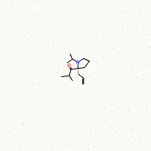 C=CC[C@@]1(C(=O)C(C)C)CCCN1C(C)C